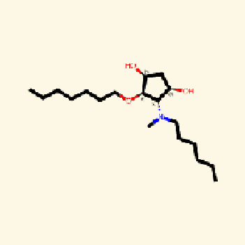 CCCCCCCO[C@@H]1[C@@H](N(C)CCCCCC)[C@H](O)C[C@@H]1O